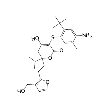 Cc1cc(SC2=C(O)CC(CCc3occc3CO)(C(C)C)OC2=O)c(C(C)(C)C)cc1N